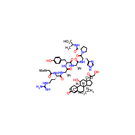 CC(=O)O.CNCC(=O)N[C@@H](CCCNC(=N)N)C(=O)N[C@H](C(=O)N[C@@H](Cc1ccc(O)cc1)C(=O)N[C@H](C(=O)N[C@@H](Cc1c[nH]cn1)C(=O)N1CCC[C@H]1C(=O)N[C@@H](C)C(=O)O)C(C)C)C(C)C.C[C@]12CCC(=O)C=C1CC[C@@H]1[C@@H]2[C@@H](O)C[C@]2(C=O)[C@@H](C(=O)CO)CC[C@@H]12